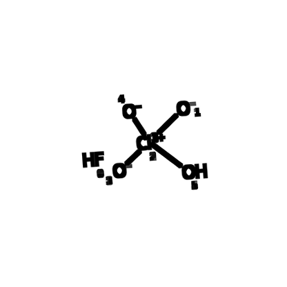 F.[O-][Cl+3]([O-])([O-])O